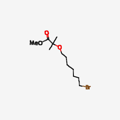 COC(=O)C(C)(C)OCCCCCCCBr